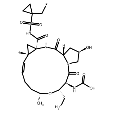 CC[C@@H]1O[C@H](C)CCC=C[C@@H]2C[C@@]2(C(=O)NS(=O)(=O)C2(CF)CC2)NC(=O)[C@@H]2C[C@@H](O)CN2C(=O)[C@H]1NC(=O)O